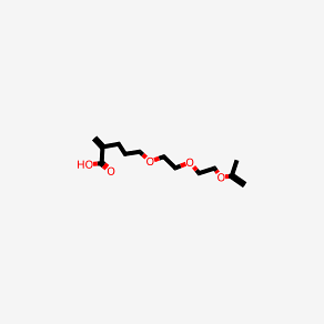 C=C(C)OCCOCCOCCCC(=C)C(=O)O